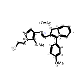 CC(=O)[O-].CNc1c(/N=C/C2=C(c3ccc(OC)cc3)[n+]3ccccc3C2)cnn1CCO